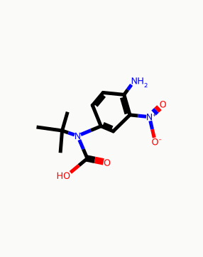 CC(C)(C)N(C(=O)O)c1ccc(N)c([N+](=O)[O-])c1